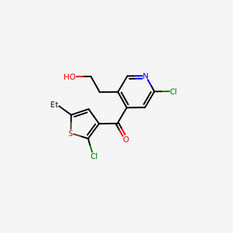 CCc1cc(C(=O)c2cc(Cl)ncc2CCO)c(Cl)s1